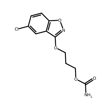 NC(=O)OCCCOc1noc2ccc(Cl)cc12